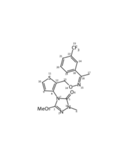 COc1nn(C)c(=O)n1-c1ccsc1CO/N=C(/C)c1cccc(C(F)(F)F)c1